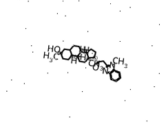 Cn1c(CC(=O)[C@H]2CC[C@H]3[C@@H]4CCC5C[C@](C)(O)CC[C@@H]5[C@H]4CC[C@]23C)nc2ccccc21